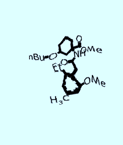 CCCCOC1CCCC(NC(=O)Cc2c(CC)cc(C)cc2OC)(C(=O)OC)C1